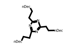 CCCCCCCCCCCCc1nc(CCCCCCCCCCCC)nc(CCCCCCCCCCCC)n1